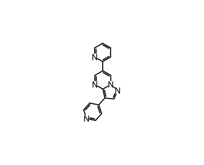 c1ccc(-c2cnc3c(-c4ccncc4)cnn3c2)nc1